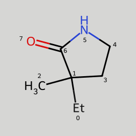 CCC1(C)CCNC1=O